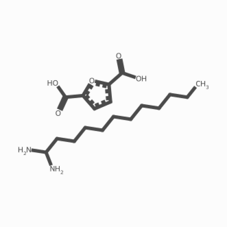 CCCCCCCCCCCC(N)N.O=C(O)c1ccc(C(=O)O)o1